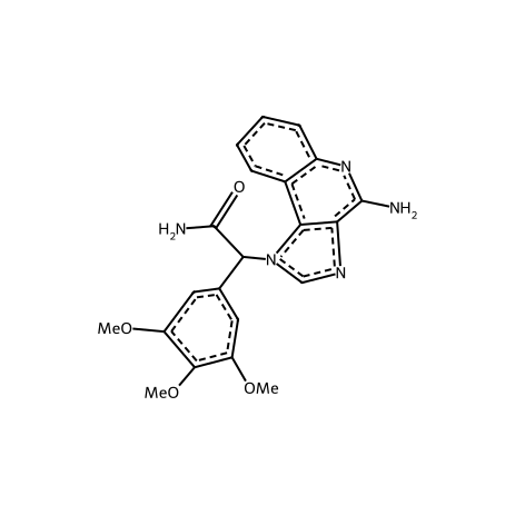 COc1cc(C(C(N)=O)n2cnc3c(N)nc4ccccc4c32)cc(OC)c1OC